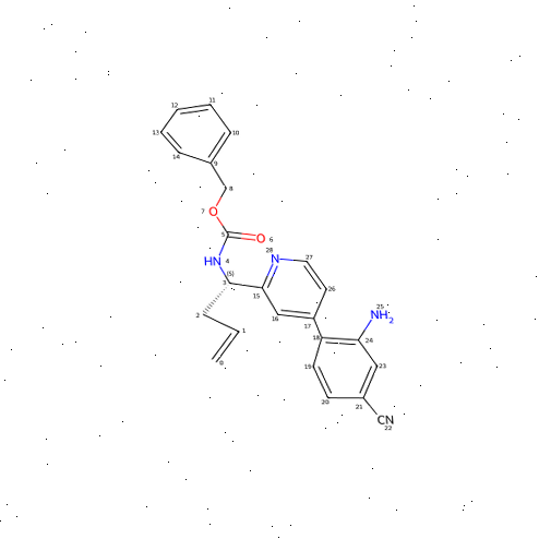 C=CC[C@H](NC(=O)OCc1ccccc1)c1cc(-c2ccc(C#N)cc2N)ccn1